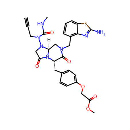 C#CCN(C(=O)NC)N1CC(=O)N2[C@@H](Cc3ccc(OCC(=O)OC)cc3)C(=O)N(Cc3cccc4sc(N)nc34)C[C@@H]21